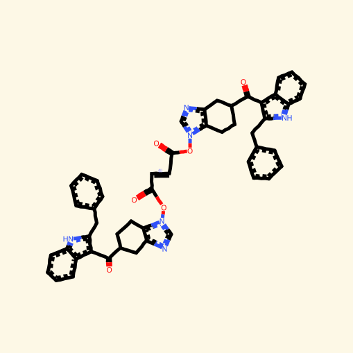 O=C(/C=C/C(=O)On1cnc2c1CCC(C(=O)c1c(Cc3ccccc3)[nH]c3ccccc13)C2)On1cnc2c1CCC(C(=O)c1c(Cc3ccccc3)[nH]c3ccccc13)C2